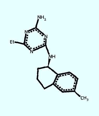 CCc1nc(N)nc(N[C@@H]2CCCc3cc(C)ccc32)n1